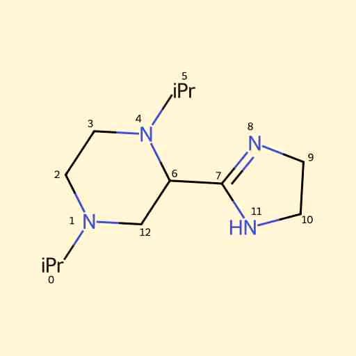 CC(C)N1CCN(C(C)C)C(C2=NCCN2)C1